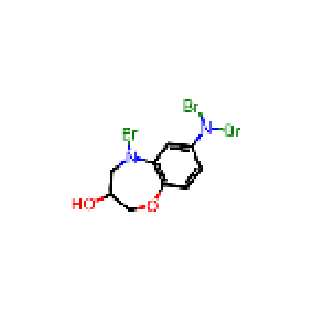 OC1COc2ccc(N(Br)Br)cc2N(Br)C1